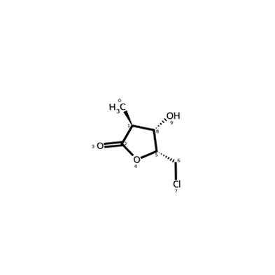 C[C@@H]1C(=O)O[C@@H](CCl)[C@H]1O